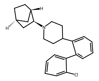 Clc1ccccc1-c1ccccc1C1CCN([C@H]2C[C@H]3CC[C@H]2C3)CC1